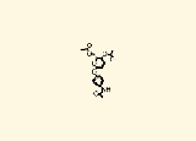 CC(=O)Nc1ccc(O[C@@H]2C=C[C@H](OC(C)=O)[C@@H](COC(C)=O)O2)cc1